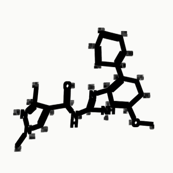 COC1=c2[nH]c(NC(=O)c3cn(C)nc3C)nc2=C(c2ccccc2)CC1